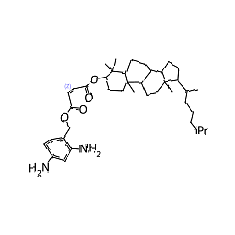 CC(C)CCCC(C)C1CCC2C3CCC4C(C)(C)C(OC(=O)/C=C\C(=O)OCc5ccc(N)cc5N)CCC4(C)C3CCC12C